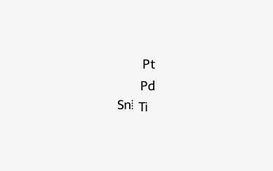 [Pd].[Pt].[Sn].[Ti]